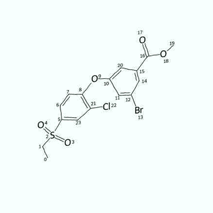 CCS(=O)(=O)c1ccc(Oc2cc(Br)cc(C(=O)OC)c2)c(Cl)c1